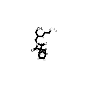 CCCCC(CC)CN1C(=O)C2(CC3C=CC2C3)C1=O